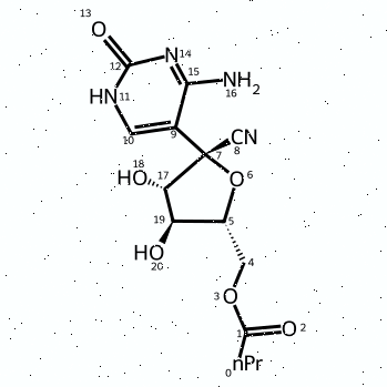 CCCC(=O)OC[C@H]1O[C@@](C#N)(c2c[nH]c(=O)nc2N)[C@@H](O)[C@@H]1O